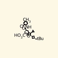 Cc1ccc(NC(=O)[C@H](CCC(=O)O)Cc2noc([C@H]3C[C@@H](CC(C)(C)C)C3)c2C2CC2)c(Cl)c1